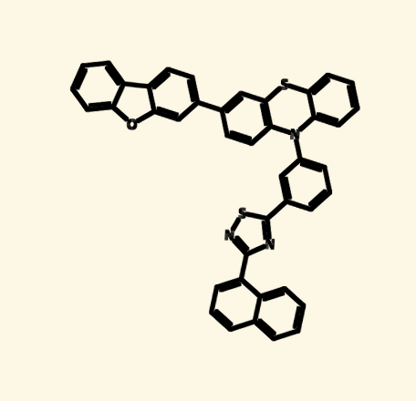 c1cc(-c2nc(-c3cccc4ccccc34)ns2)cc(N2c3ccccc3Sc3cc(-c4ccc5c(c4)oc4ccccc45)ccc32)c1